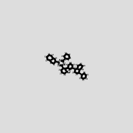 c1ccc(-c2nc(-c3ccc4ccccc4c3)nc(-c3cccc4oc5c(-c6ccc(-c7ccccc7)c7ccccc67)cccc5c34)n2)cc1